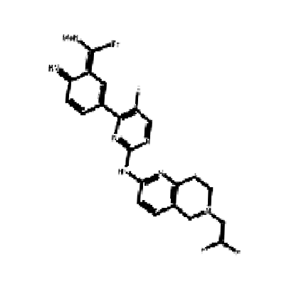 CN/C(=C1/C=C(c2nc(Nc3ccc4c(n3)CCN(CC(F)F)C4)ncc2F)C=CC1=N)C(C)C